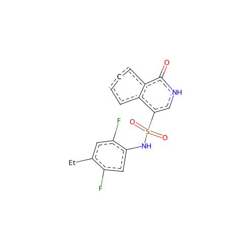 CCc1cc(F)c(NS(=O)(=O)c2c[nH]c(=O)c3ccccc23)cc1F